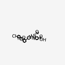 CC(c1nc2ccc(C(=O)O)cc2n1C[C@@H]1CCO1)N1CC=C(c2cccc3c2O[C@](C)(c2ccc(Cl)cn2)O3)CC1